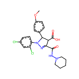 COc1ccc(C2C(C(=O)O)C(C(=O)NN3CCCCC3)=NN2c2ccc(Cl)cc2Cl)cc1